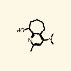 Cc1cc(N(C)C)c2c(n1)C(O)CCCC2